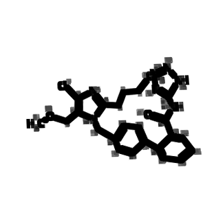 CCCCc1nc(Cl)c(COC)n1Cc1ccc(-c2ccccc2C(=O)Nc2nnn[nH]2)cc1